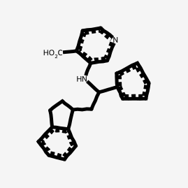 O=C(O)c1ccncc1NC(CC1CCc2ccccc21)c1ccccc1